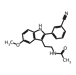 COc1ccc2[nH]c(-c3cccc(C#N)c3)c(CCNC(C)=O)c2c1